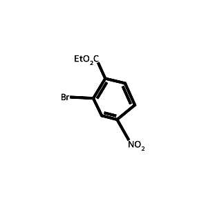 CCOC(=O)c1ccc([N+](=O)[O-])cc1Br